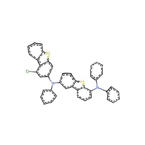 Clc1cc(N(c2ccccc2)c2ccc3sc4c(N(c5ccccc5)c5ccccc5)cccc4c3c2)cc2sc3ccccc3c12